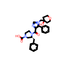 O=C(O)N1CCN(C(=O)c2ncn(CC3(O)CCOCC3)c2-c2ccccc2)[C@H](Cc2ccccc2)C1